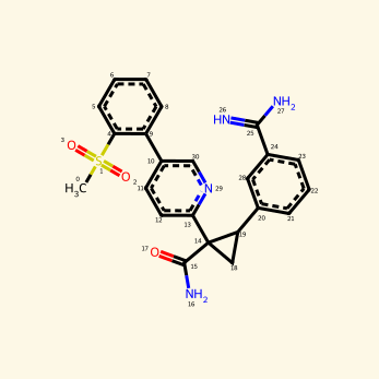 CS(=O)(=O)c1ccccc1-c1ccc(C2(C(N)=O)CC2c2cccc(C(=N)N)c2)nc1